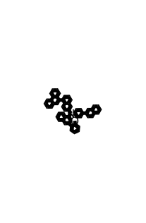 c1ccc2cc(-c3ccc(N(c4ccc5c(-c6cc7ccccc7c7ccccc67)cccc5c4)c4c5ccccc5cc5c4oc4ccccc45)cc3)ccc2c1